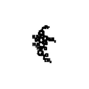 C=CC(=O)N1CCCC(NC(=O)c2sc3c(N)ccc4c3c2C(N)C(=O)C4(N)c2ccc(CC(C)C)cc2)C1